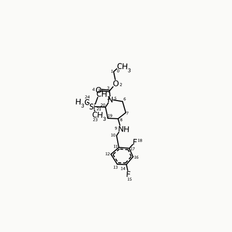 CCOC(=O)N1CCC(NCc2ccc(F)cc2F)CC1[Si](C)(C)C